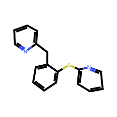 c1ccc(Cc2ccccc2Sc2ccccn2)nc1